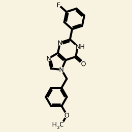 COc1cccc(Cn2cnc3nc(-c4cccc(F)c4)[nH]c(=O)c32)c1